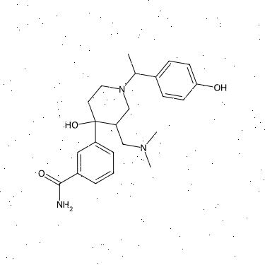 CC(c1ccc(O)cc1)N1CCC(O)(c2cccc(C(N)=O)c2)C(CN(C)C)C1